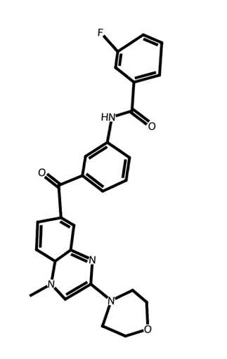 CN1C=C(N2CCOCC2)N=C2C=C(C(=O)c3cccc(NC(=O)c4cccc(F)c4)c3)C=CC21